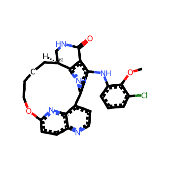 COc1c(Cl)cccc1Nc1c2[nH]c3c1C(=O)NC[C@@H]3CCCCOc1ccc3nccc-2c3n1